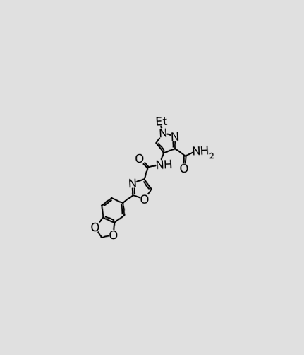 CCn1cc(NC(=O)c2coc(-c3ccc4c(c3)OCO4)n2)c(C(N)=O)n1